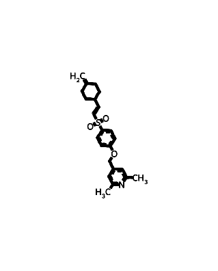 C=C1CCC(/C=C/S(=O)(=O)c2ccc(OCc3cc(C)nc(C)c3)cc2)CC1